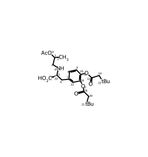 CC(=O)OC(C)CN[C@@H](Cc1ccc(OC(=O)CC(C)(C)C)c(OC(=O)CC(C)(C)C)c1)C(=O)O